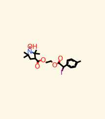 Cc1ccc(C(I)C(=O)OCCOC(=O)C2CC(C)(C)N(O)C2(C)C)cc1